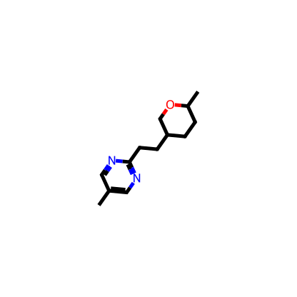 Cc1cnc(CCC2CCC(C)OC2)nc1